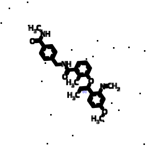 C=Nc1cc(OC)ccc1/C(=C\C)Oc1cccc(C(=O)NCc2ccc(C(=O)NC)cc2)c1C